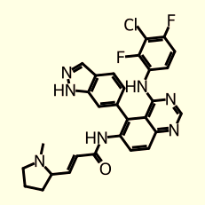 CN1CCCC1C=CC(=O)Nc1ccc2ncnc(Nc3ccc(F)c(Cl)c3F)c2c1-c1ccc2cn[nH]c2c1